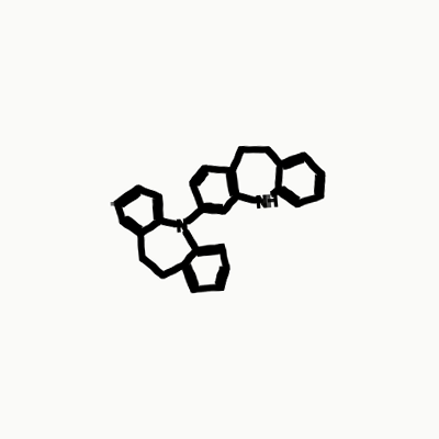 [c]1ccc2c(c1)CCc1ccccc1N2c1ccc2c(c1)Nc1ccccc1CC2